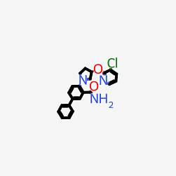 NC(=O)c1cc(-c2ccccc2)ccc1N1CC[C@@H](Oc2ncccc2Cl)C1